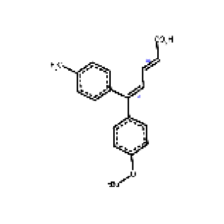 CC(C)(C)Oc1ccc(/C(=C/C=C/C(=O)O)c2ccc(C(F)(F)F)cc2)cc1